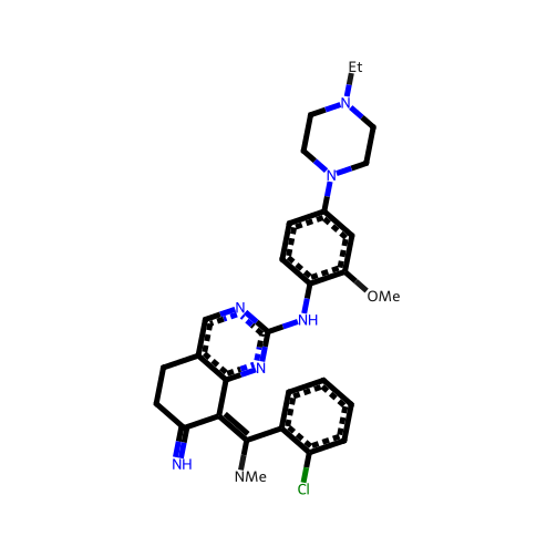 CCN1CCN(c2ccc(Nc3ncc4c(n3)/C(=C(/NC)c3ccccc3Cl)C(=N)CC4)c(OC)c2)CC1